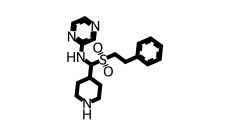 O=S(=O)(CCc1ccccc1)C(Nc1cnccn1)C1CCNCC1